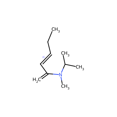 C=C(/C=C/CC)N(C)C(C)C